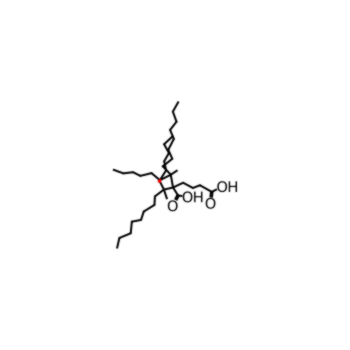 CCCCCCCCC(C)(CCCCCC)C(CCCC(=O)O)(C(=O)O)C(C)(CCCCCC)CCCCCCCC